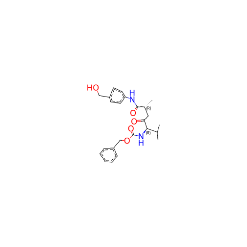 CC(C)[C@@H](NC(=O)OCc1ccccc1)C(=O)C[C@@H](C)C(=O)Nc1ccc(CO)cc1